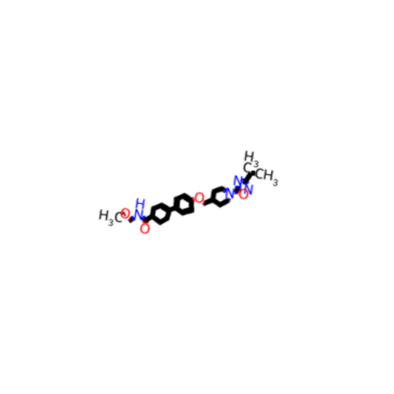 COCNC(=O)C1CC=C(c2ccc(OCC3CCN(c4nc(C(C)C)no4)CC3)cc2)CC1